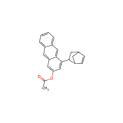 CC(=O)Oc1cc(C2CC3C=CC2C3)c2cc3ccccc3cc2c1